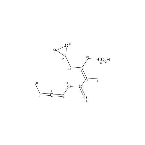 CC=C=COC(=O)C(C)=C(CC(=O)O)CC1CO1